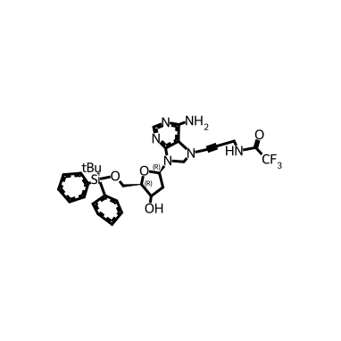 CC(C)(C)[Si](OC[C@H]1O[C@@H](N2CN(C#CCNC(=O)C(F)(F)F)c3c(N)ncnc32)CC1O)(c1ccccc1)c1ccccc1